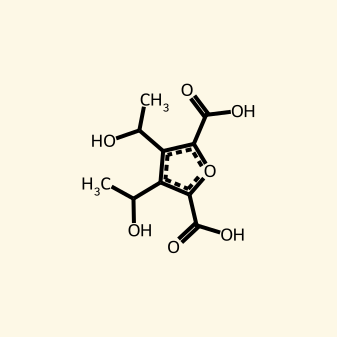 CC(O)c1c(C(=O)O)oc(C(=O)O)c1C(C)O